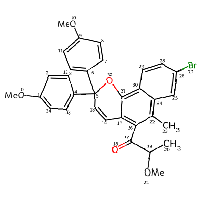 COc1ccc(C2(c3ccc(OC)cc3)C=Cc3c(C(=O)C(C)OC)c(C)c4cc(Br)ccc4c3O2)cc1